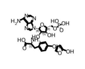 N[C@@H](Cc1ccc(O)cc1)C(=O)O.Nc1ncnc2c1ncn2[C@@H]1O[C@H](COP(=O)(O)O)[C@@H](O)[C@H]1O.Oc1ccco1